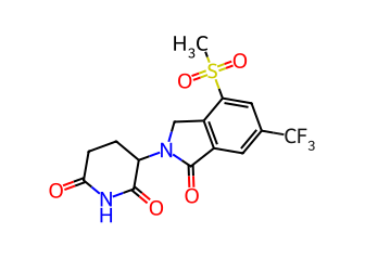 CS(=O)(=O)c1cc(C(F)(F)F)cc2c1CN(C1CCC(=O)NC1=O)C2=O